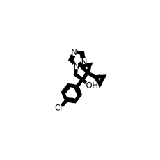 OC(Cn1cncn1)(c1ccc(Cl)cc1)C1(C2CC2)CC1